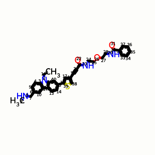 CCn1c2ccc(CNC)cc2c2ccc(-c3cc(C#CC(=O)NCCOCCNC(=O)c4ccccc4)cs3)cc21